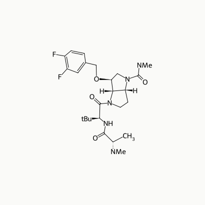 CNC(=O)N1C[C@H](OCc2ccc(F)c(F)c2)[C@@H]2[C@H]1CCN2C(=O)[C@@H](NC(=O)[C@H](C)NC)C(C)(C)C